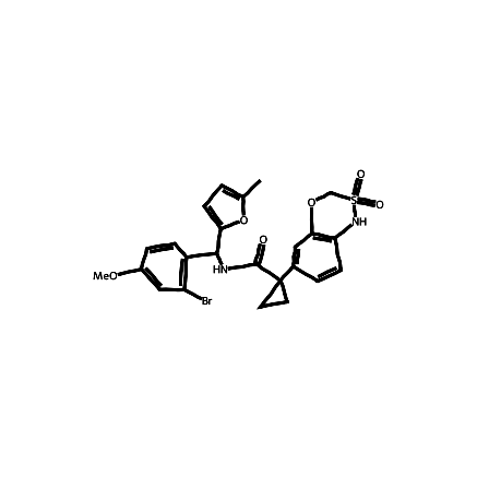 COc1ccc(C(NC(=O)C2(c3ccc4c(c3)OCS(=O)(=O)N4)CC2)c2ccc(C)o2)c(Br)c1